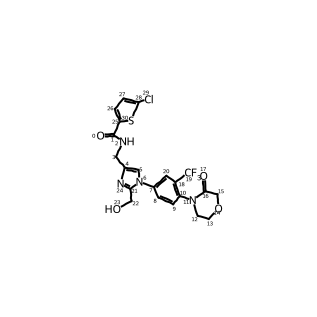 O=C(NCc1cn(-c2ccc(N3CCOCC3=O)c(C(F)(F)F)c2)c(CO)n1)c1ccc(Cl)s1